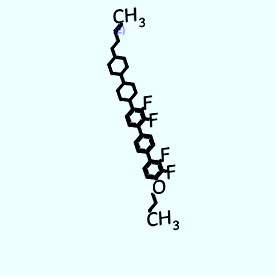 C/C=C/CCC1CCC(C2CCC(c3ccc(-c4ccc(-c5ccc(OCCCC)c(F)c5F)cc4)c(F)c3F)CC2)CC1